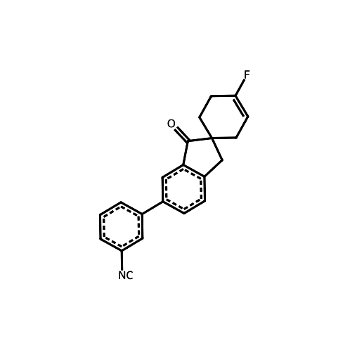 [C-]#[N+]c1cccc(-c2ccc3c(c2)C(=O)C2(CC=C(F)CC2)C3)c1